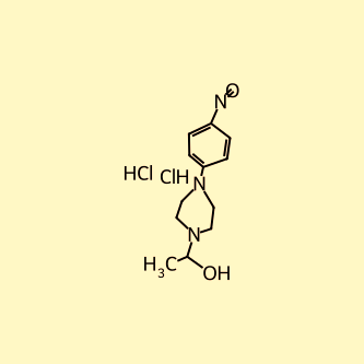 CC(O)N1CCN(c2ccc(N=O)cc2)CC1.Cl.Cl